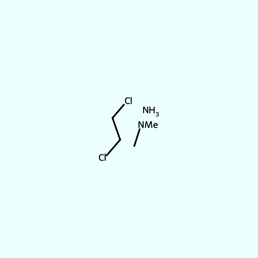 CNC.ClCCCl.N